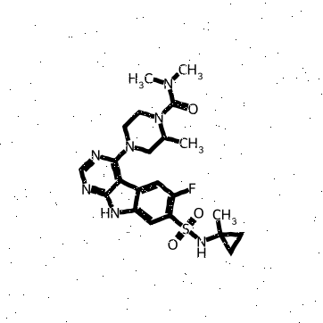 CC1CN(c2ncnc3[nH]c4cc(S(=O)(=O)NC5(C)CC5)c(F)cc4c23)CCN1C(=O)N(C)C